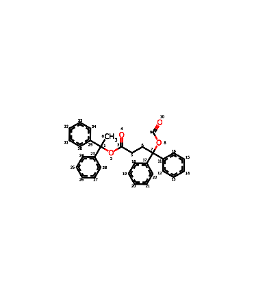 CC(OC(=O)CCC(OC=O)(c1ccccc1)c1ccccc1)(c1ccccc1)c1ccccc1